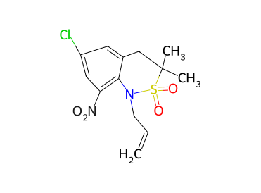 C=CCN1c2c(cc(Cl)cc2[N+](=O)[O-])CC(C)(C)S1(=O)=O